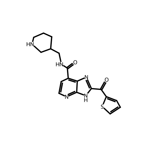 O=C(c1nc2c(C(=O)NCC3CCCNC3)ccnc2[nH]1)c1cccs1